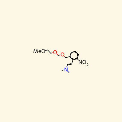 COCCOCOCc1cccc([N+](=O)[O-])c1C=CN(C)C